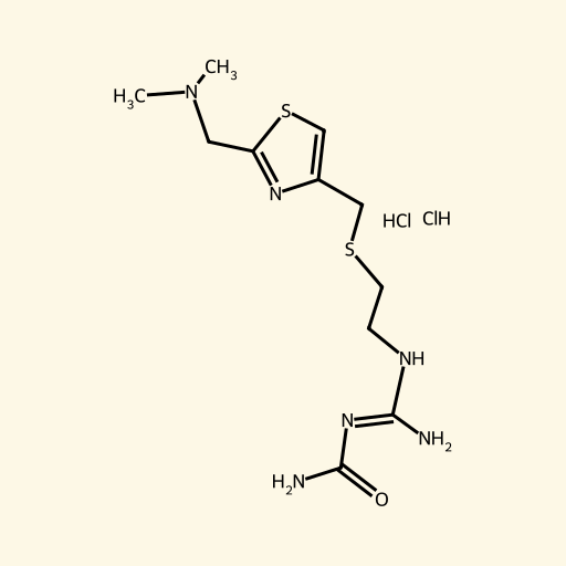 CN(C)Cc1nc(CSCCNC(N)=NC(N)=O)cs1.Cl.Cl